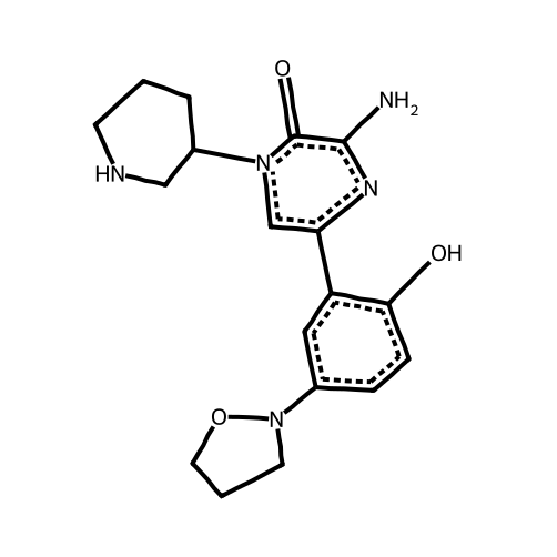 Nc1nc(-c2cc(N3CCCO3)ccc2O)cn(C2CCCNC2)c1=O